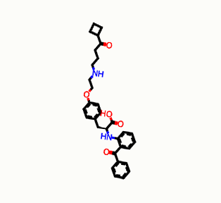 O=C(c1ccccc1)c1ccccc1N[C@@H](Cc1ccc(OCCNCCCC(=O)C2CCC2)cc1)C(=O)O